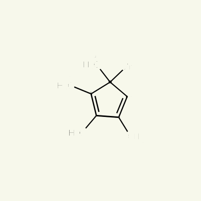 CC1=C[C](C)([Zr])C(C)=C1C